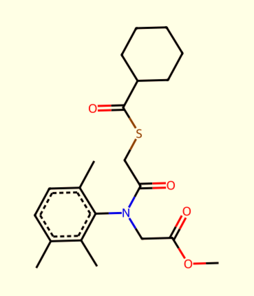 COC(=O)CN(C(=O)CSC(=O)C1CCCCC1)c1c(C)ccc(C)c1C